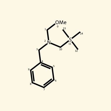 COCN(Cc1ccccc1)CS(C)(C)C